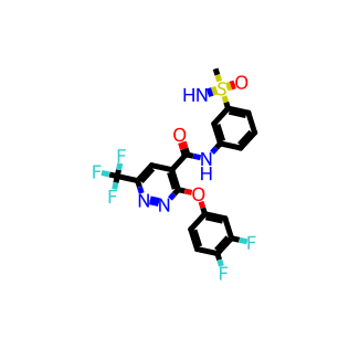 CS(=N)(=O)c1cccc(NC(=O)c2cc(C(F)(F)F)nnc2Oc2ccc(F)c(F)c2)c1